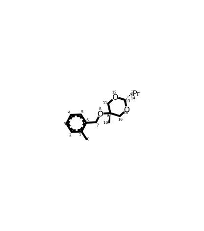 Cc1ccccc1CO[C@]1(C)CO[C@H](C(C)C)OC1